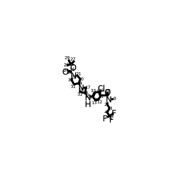 CN(CCCC(F)(F)F)C(=O)c1ccc(NC2CN(C3CCN(C(=O)OC(C)(C)C)CC3)C2)cc1Cl